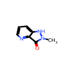 Cn1[nH]c2cccnc2c1=O